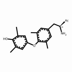 CC(=O)[C@@H](N)Cc1cc(C)c(Oc2cc(C)c(O)c(C)c2)c(C)c1